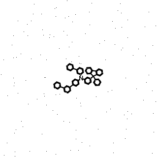 c1ccc(-c2cccc(-c3ccc(N(c4cccc(-c5ccccc5)c4)c4cccc(C5(c6ccccc6)c6ccccc6-c6ccccc65)c4)cc3)c2)cc1